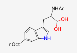 CCCCCCCCc1ccc2c(CC(NC(C)=O)C(O)O)c[nH]c2c1